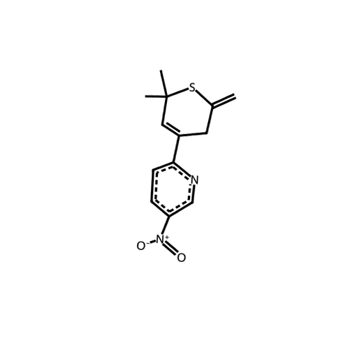 C=C1CC(c2ccc([N+](=O)[O-])cn2)=CC(C)(C)S1